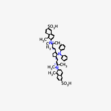 C/C(=C\C=C1/CCC(/C=C/C(C)=[N+](\C)c2ccc3cc(S(=O)(=O)O)ccc3c2C)=C1N(c1ccccc1)c1ccccc1)N(C)c1ccc2cc(S(=O)(=O)O)ccc2c1C